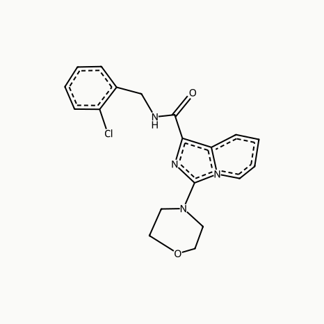 O=C(NCc1ccccc1Cl)c1nc(N2CCOCC2)n2ccccc12